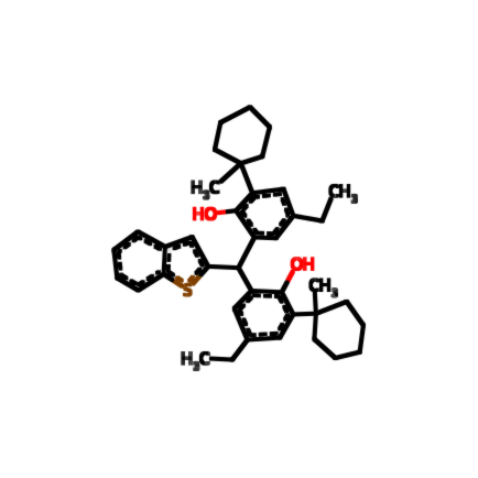 CCc1cc(C(c2cc3ccccc3s2)c2cc(CC)cc(C3(C)CCCCC3)c2O)c(O)c(C2(C)CCCCC2)c1